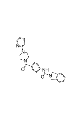 O=C(Nc1ccc(C(=O)N2CCN(c3ccccn3)CC2)cc1)N1Cc2ccccc2C1